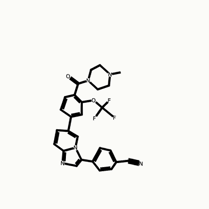 CN1CCN(C(=O)c2ccc(-c3ccc4ncc(-c5ccc(C#N)cc5)n4c3)cc2OC(F)(F)F)CC1